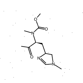 COC(=O)N(C)[C@@H](CC1CN(C)C=N1)C(C)=O